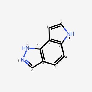 c1cc2c(ccc3cn[nH]c32)[nH]1